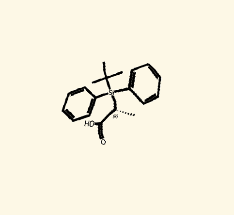 C[C@H](C(=O)O)[Si](c1ccccc1)(c1ccccc1)C(C)(C)C